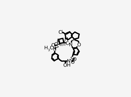 CN1c2cccc(c2)CC(=O)NS(=O)(=O)c2ccc3c(c2)N(C[C@@H]2CC[C@H]2S1(=O)=O)C[C@@]1(CCCc2cc(Cl)ccc21)CO3